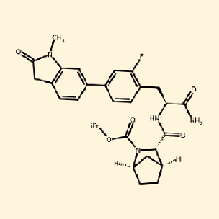 CC(C)OC(=O)N1[C@@H]2CC[C@@H](C2)[C@H]1C(=O)N[C@@H](Cc1ccc(-c2ccc3c(c2)N(C)C(=O)C3)cc1F)C(N)=O